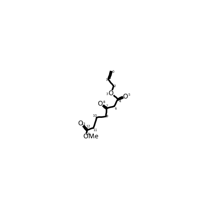 C=CCOC(=O)CC(=O)CCCC(=O)OC